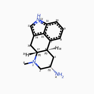 CN1C[C@@H](N)C[C@@H]2c3cccc4[nH]cc(c34)C[C@H]21